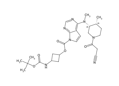 C[C@@H]1CCN(C(=O)CC#N)C[C@@H]1N(C)c1ncnc2c1ccn2C(=O)OC1CC(NC(=O)OC(C)(C)C)C1